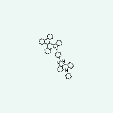 c1ccc(N2c3ccccc3-c3nc(-c4ccc(-n5c6ccccc6c6c7c8ccccc8c8ccccc8c7c7ccccc7c65)cc4)nc4cccc2c34)cc1